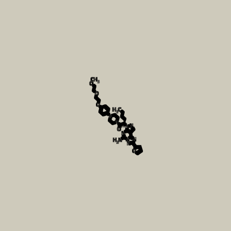 CCCC[C@H](C(=O)N1CCN(c2ccc(OCCOCCOC)cc2)CC1)n1ncc2c1nc(N)n1nc(-c3ccco3)nc21